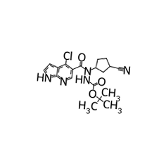 CC(C)(C)OC(=O)NN(C(=O)c1cnc2[nH]ccc2c1Cl)C1CCC(C#N)C1